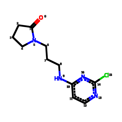 O=C1CCCN1CCCNc1ccnc(Cl)n1